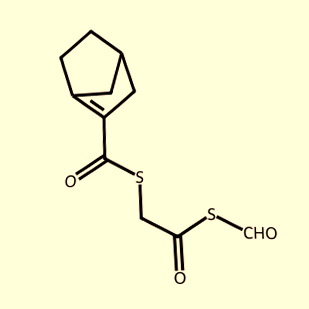 O=CSC(=O)CSC(=O)C1=C2CCC(C2)C1